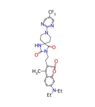 CCN(CC)c1ccc2c(C)c(CCN3C(=O)NC4(CCN(c5ncc(C(F)(F)F)cn5)CC4)C3=O)c(=O)oc2c1